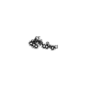 O=C1c2cc(N3CCN(CCCC4(C(=O)NCC(F)(F)F)c5ccccc5Sc5ccccc54)CC3)ccc2CCN1Cc1cccc(Cl)c1